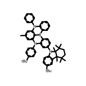 Cc1cc2c3c(c1)N(c1ccc(C(C)(C)C)cc1)c1cc(N4c5ccc(C(C)(C)C)cc5C5(C)C(C)(C)CCC(C)(C)C45C)ccc1B3c1ccccc1N2c1ccccc1